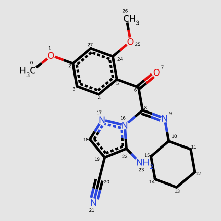 COc1ccc(C(=O)/C(=N/C2CCCCC2)n2ncc(C#N)c2N)c(OC)c1